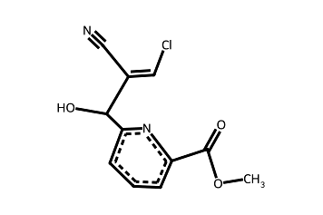 COC(=O)c1cccc(C(O)C(C#N)=CCl)n1